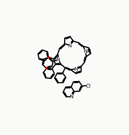 C1=Cc2cc3c(-c4ccccc4)c(-c4ccccc4)c(c(-c4ccccc4)c4nc(cc5ccc(cc1n2)[nH]5)C=C4)n3-c1ccccc1.Clc1ccc2cccnc2c1